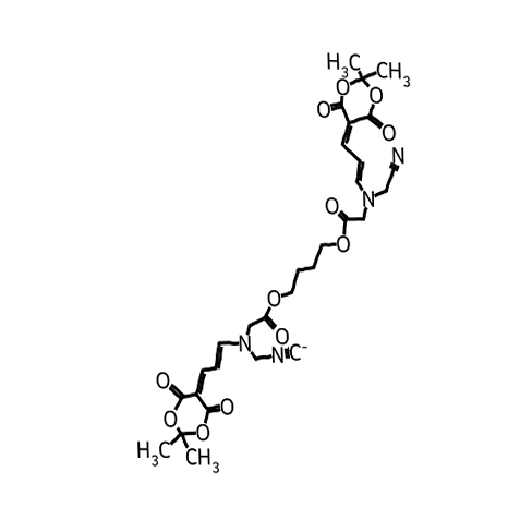 [C-]#[N+]CN(/C=C/C=C1C(=O)OC(C)(C)OC1=O)CC(=O)OCCCCOC(=O)CN(/C=C/C=C1C(=O)OC(C)(C)OC1=O)CC#N